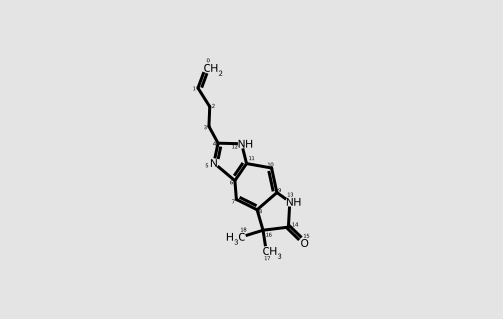 C=CCCc1nc2cc3c(cc2[nH]1)NC(=O)C3(C)C